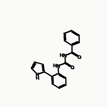 O=C(NC(=O)c1ccccc1)Nc1ccccc1-c1ccc[nH]1